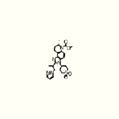 COC(=O)N1c2ccc3c(nc(C(C)Cn4cccn4)n3C3CCS(=O)(=O)CC3)c2CC[C@@H]1C